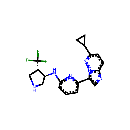 FC(F)(F)[C@H]1CNC[C@@H]1Nc1cccc(-c2cnc3ccc(C4CC4)nn23)n1